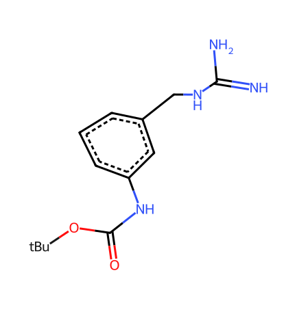 CC(C)(C)OC(=O)Nc1cccc(CNC(=N)N)c1